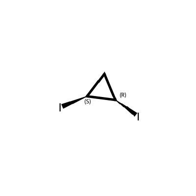 I[C@@H]1C[C@@H]1I